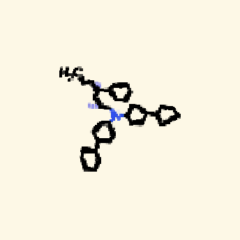 C=C/C=C(\C=C/CN(c1ccc(-c2ccccc2)cc1)c1ccc(-c2ccccc2)cc1)c1ccccc1